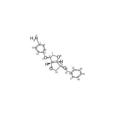 Nc1ccc(O[C@H]2CO[C@H]3[C@@H]2OC[C@@H]3OCc2ccccc2)cc1